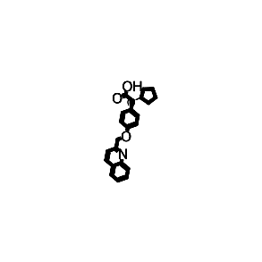 O=C(O)[C@@H](c1ccc(OCc2ccc3ccccc3n2)cc1)C1CCCC1